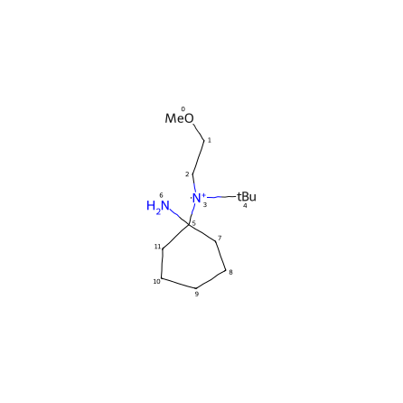 COCC[N+](C(C)(C)C)C1(N)CCCCC1